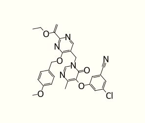 C=C(OCC)c1ncc(Cn2cnc(C)c(Oc3cc(Cl)cc(C#N)c3)c2=O)c(OCc2ccc(OC)cc2)n1